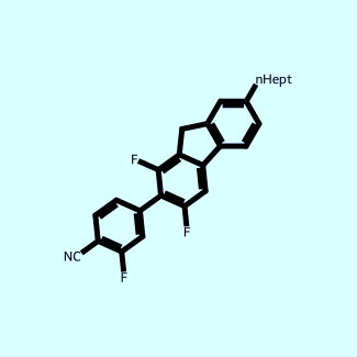 CCCCCCCc1ccc2c(c1)Cc1c-2cc(F)c(-c2ccc(C#N)c(F)c2)c1F